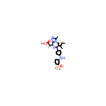 Cc1sc2c(c1C)C(c1ccc(Nc3cccc(S(C)(=O)=O)c3)cc1)=NC([C@H](C)C(=O)O)c1nnc(C)n1-2